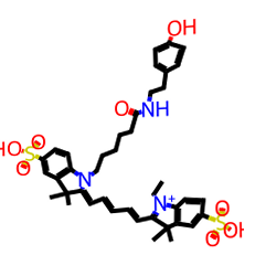 CC[N+]1=C(/C=C/C=C/C=C2\N(CCCCCC(=O)NCCc3ccc(O)cc3)c3ccc(S(=O)(=O)O)cc3C2(C)C)C(C)(C)c2cc(S(=O)(=O)O)ccc21